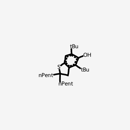 CCCCCC1(CCCCC)Cc2c(cc(C(C)(C)C)c(O)c2C(C)(C)C)S1